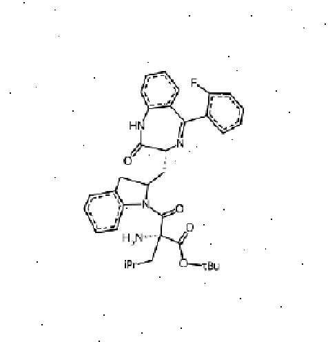 CC(C)C[C@](N)(C(=O)OC(C)(C)C)C(=O)N1c2ccccc2CC1C[C@H]1N=C(c2ccccc2F)c2ccccc2NC1=O